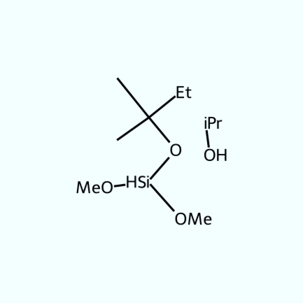 CC(C)O.CCC(C)(C)O[SiH](OC)OC